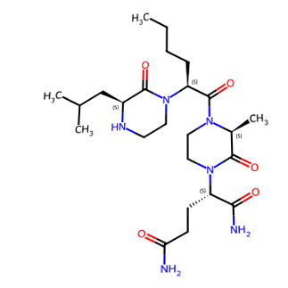 CCCC[C@@H](C(=O)N1CCN([C@@H](CCC(N)=O)C(N)=O)C(=O)[C@@H]1C)N1CCN[C@@H](CC(C)C)C1=O